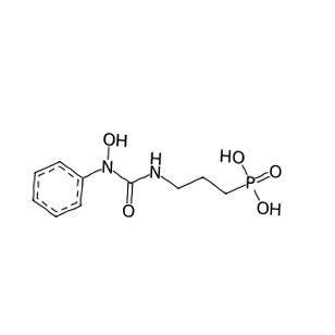 O=C(NCCCP(=O)(O)O)N(O)c1ccccc1